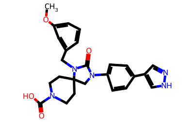 COc1cccc(CN2C(=O)N(c3ccc(-c4cn[nH]c4)cc3)CC23CCN(C(=O)O)CC3)c1